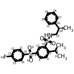 CC(C)c1ccc(S(=O)(=O)c2ccc(F)cc2)cc1S(=O)(=O)NC[C@H](C)c1ccccc1